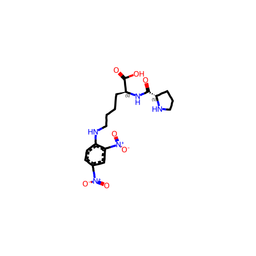 O=C(O)[C@H](CCCCNc1ccc([N+](=O)[O-])cc1[N+](=O)[O-])NC(=O)[C@@H]1CCCN1